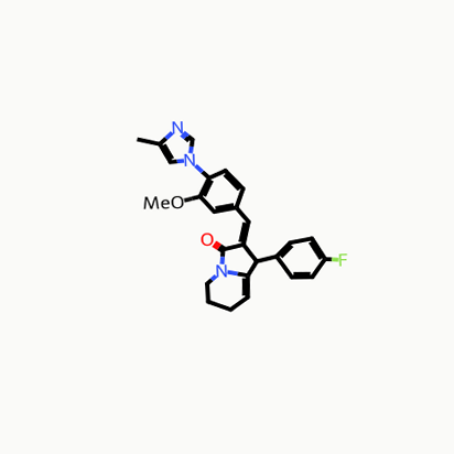 COc1cc(C=C2C(=O)N3CCCC=C3C2c2ccc(F)cc2)ccc1-n1cnc(C)c1